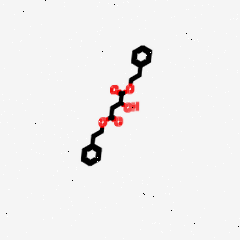 O=C(CC(O)C(=O)OCCc1ccccc1)OCCc1ccccc1